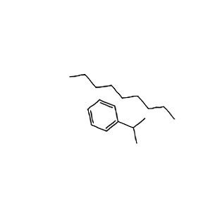 CC(C)c1ccccc1.CCCCCCCCC